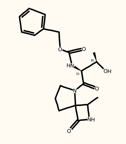 CC1NC(=O)C12CCCN2C(=O)[C@@H](NC(=O)OCc1ccccc1)[C@@H](C)O